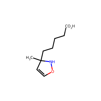 CC1(CCCCC(=O)O)C=CON1